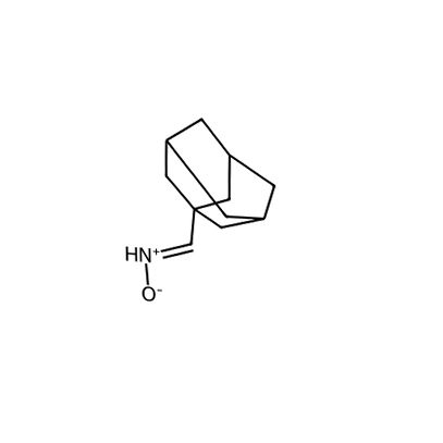 [O-][NH+]=CC12CC3CC(CC(C3)C1)C2